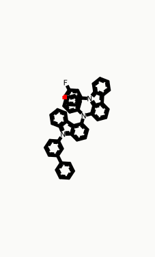 Fc1cccc(-n2c3ccccc3c3cccc(N(c4ccccc4)c4cccc5c4c4ccccc4n5-c4cccc(-c5ccccc5)c4)c32)c1